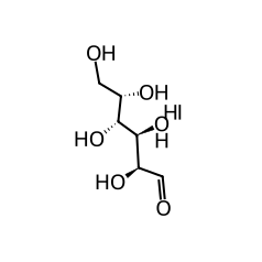 I.O=C[C@@H](O)[C@H](O)[C@H](O)[C@@H](O)CO